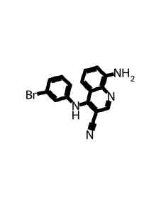 N#Cc1cnc2c(N)cccc2c1Nc1cccc(Br)c1